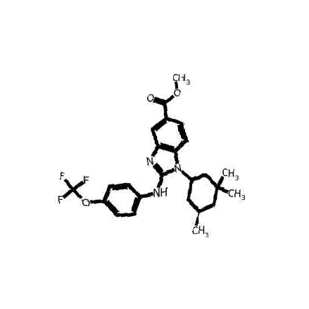 COC(=O)c1ccc2c(c1)nc(Nc1ccc(OC(F)(F)F)cc1)n2C1C[C@H](C)CC(C)(C)C1